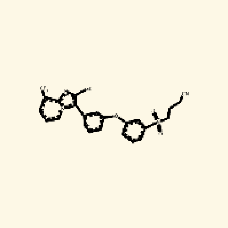 CCc1nc2c(C(F)(F)F)cccn2c1-c1cccc(Oc2cccc(S(=O)(=O)CCCC#N)c2)c1